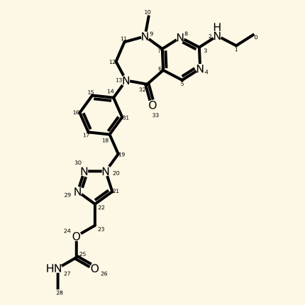 CCNc1ncc2c(n1)N(C)CCN(c1cccc(Cn3cc(COC(=O)NC)nn3)c1)C2=O